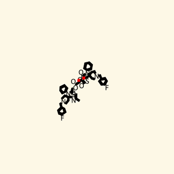 Cc1csc(C2(N(C(=O)COC(=O)C(=O)OCC(=O)N(c3ccccc3)C3(c4nc(C)cs4)CCN(Cc4ccc(F)cc4)CC3)c3ccccc3)CCN(Cc3ccc(F)cc3)CC2)n1